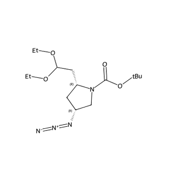 CCOC(C[C@H]1C[C@@H](N=[N+]=[N-])CN1C(=O)OC(C)(C)C)OCC